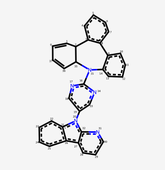 C1=CC2c3ccccc3-c3ccccc3N(c3ncc(-n4c5ccccc5c5cccnc54)cn3)C2C=C1